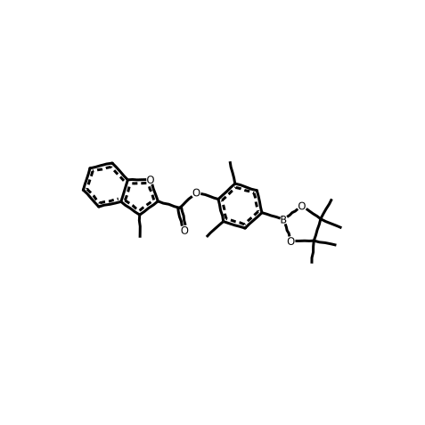 Cc1cc(B2OC(C)(C)C(C)(C)O2)cc(C)c1OC(=O)c1oc2ccccc2c1C